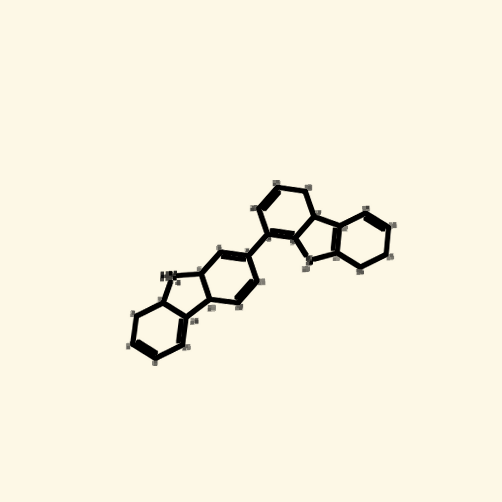 C1=CCC2NC3C=C(C4=C5SC6=C(C=CCC6)C5CC=C4)C=CC3C2=C1